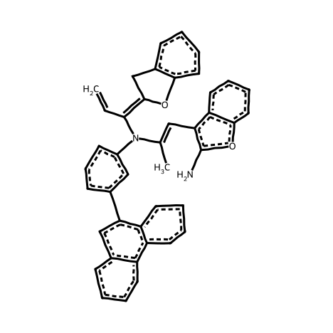 C=C/C(=C1\Cc2ccccc2O1)N(/C(C)=C/c1c(N)oc2ccccc12)c1cccc(-c2cc3ccccc3c3ccccc23)c1